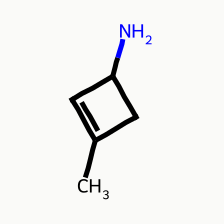 CC1=CC(N)C1